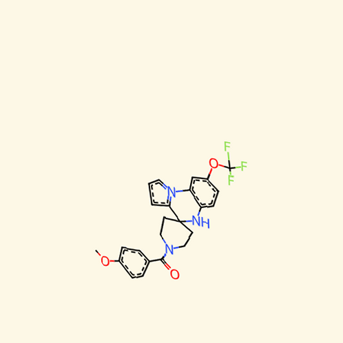 COc1ccc(C(=O)N2CCC3(CC2)Nc2ccc(OC(F)(F)F)cc2-n2cccc23)cc1